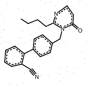 CCCCc1nccc(=O)n1Cc1ccc(-c2ccccc2C#N)cc1